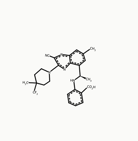 Cc1cc([C@@H](C)Nc2ccccc2C(=O)O)c2nc(N3CCC(C)(C(F)(F)F)CC3)c(C#N)nc2c1